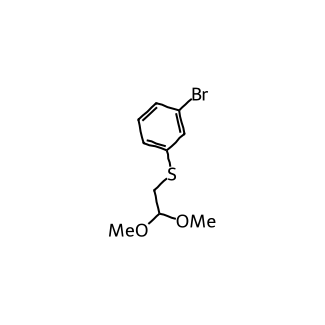 COC(CSc1cccc(Br)c1)OC